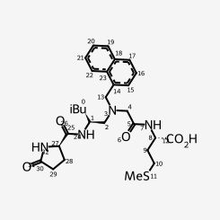 CC[C@H](C)[C@@H](CN(CC(=O)N[C@@H](CCSC)C(=O)O)Cc1cccc2ccccc12)NC(=O)[C@H]1CCC(=O)N1